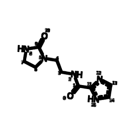 O=C(NCCN1CCNC1=O)c1ncc[nH]1